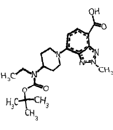 CCN(C(=O)OC(C)(C)C)C1CCN(c2ccc(C(=O)O)c3nn(C)nc23)CC1